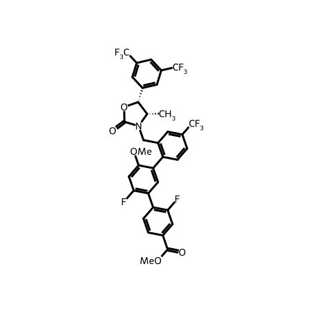 COC(=O)c1ccc(-c2cc(-c3ccc(C(F)(F)F)cc3CN3C(=O)O[C@H](c4cc(C(F)(F)F)cc(C(F)(F)F)c4)[C@@H]3C)c(OC)cc2F)c(F)c1